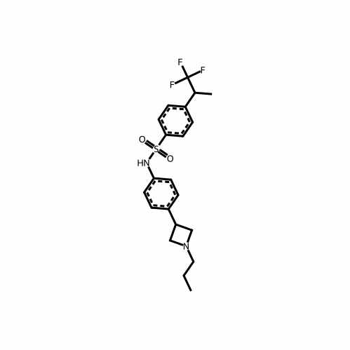 CCCN1CC(c2ccc(NS(=O)(=O)c3ccc(C(C)C(F)(F)F)cc3)cc2)C1